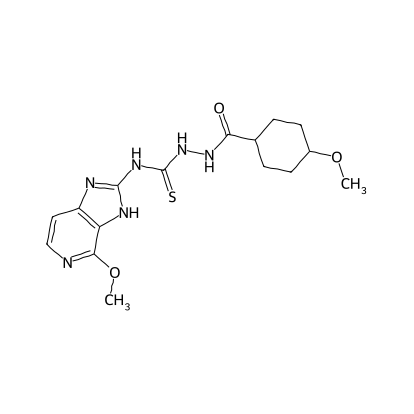 COc1nccc2nc(NC(=S)NNC(=O)C3CCC(OC)CC3)[nH]c12